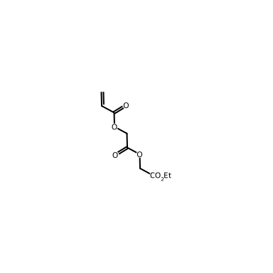 C=CC(=O)OCC(=O)OCC(=O)OCC